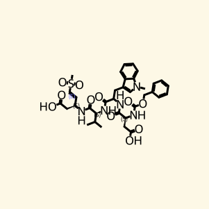 CC(C)[C@H](NC(=O)C(Cc1cn(C)c2ccccc12)NC(=O)[C@H](CC(=O)O)NC(=O)OCc1ccccc1)C(=O)N[C@H](/C=C/S(C)(=O)=O)CC(=O)O